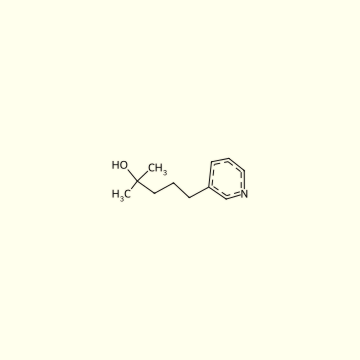 CC(C)(O)CCCc1cccnc1